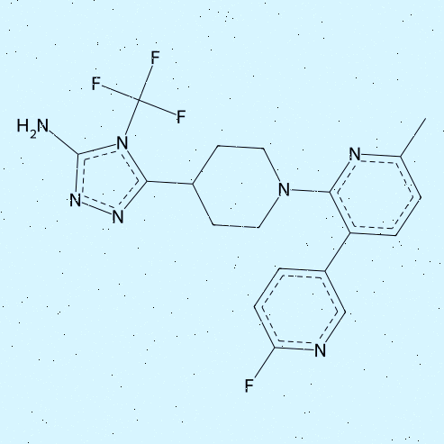 Cc1ccc(-c2ccc(F)nc2)c(N2CCC(c3nnc(N)n3C(F)(F)F)CC2)n1